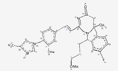 COCCCCN1C(/C=C/c2ccc(-n3cnc(C)c3)c(OC)c2)=NC(=O)CC1(C)c1ccc(F)cc1